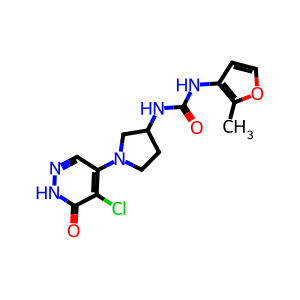 Cc1occc1NC(=O)NC1CCN(c2cn[nH]c(=O)c2Cl)C1